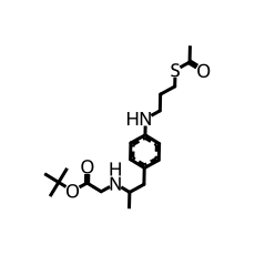 CC(=O)SCCCNc1ccc(CC(C)NCC(=O)OC(C)(C)C)cc1